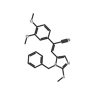 COc1ccc(C(C#N)=Cc2cnc(SC)n2Cc2ccccc2)cc1OC